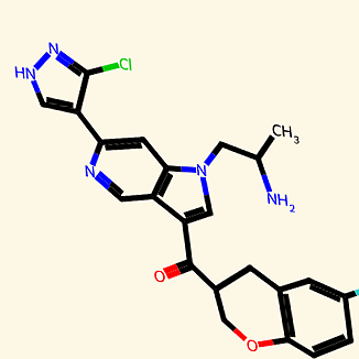 CC(N)Cn1cc(C(=O)C2COc3ccc(F)cc3C2)c2cnc(-c3c[nH]nc3Cl)cc21